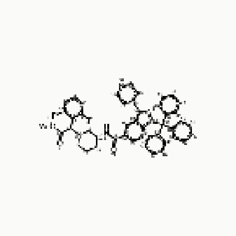 COC(=O)C(c1c(F)cccc1F)N1CCC[C@@H](NC(=O)c2ccc3c(c2)c(-c2ccncc2)nn3C(c2ccccc2)(c2ccccc2)c2ccccc2)C1